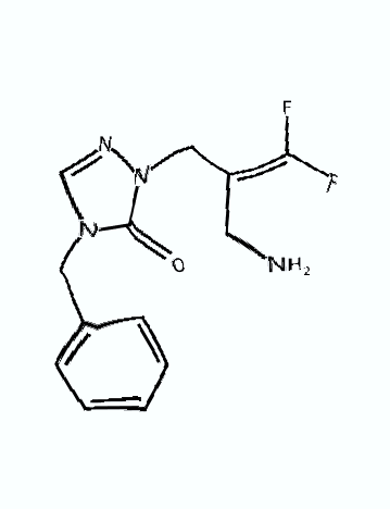 NCC(Cn1ncn(Cc2ccccc2)c1=O)=C(F)F